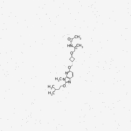 CC(C)CCOc1nc2ccc(OC[C@H]3C[C@H](OC[C@H](C)NC4OC4C)C3)nc2n1C